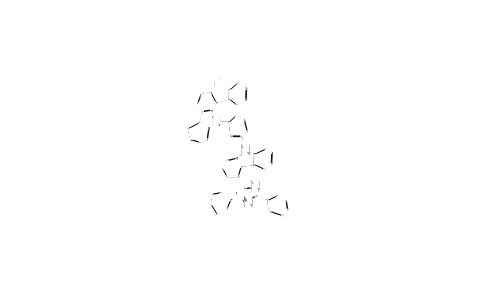 c1ccc(-c2nc(-c3cccc4c3c3ccccc3n4-c3cccc(-n4c5ccccc5c5ccc6oc7ccccc7c6c54)c3)n(-c3ccccc3)n2)cc1